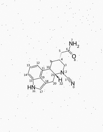 N#CN1C[C@@H](CC(N)=O)CC2c3cccc4[nH]cc(c34)C[C@H]21